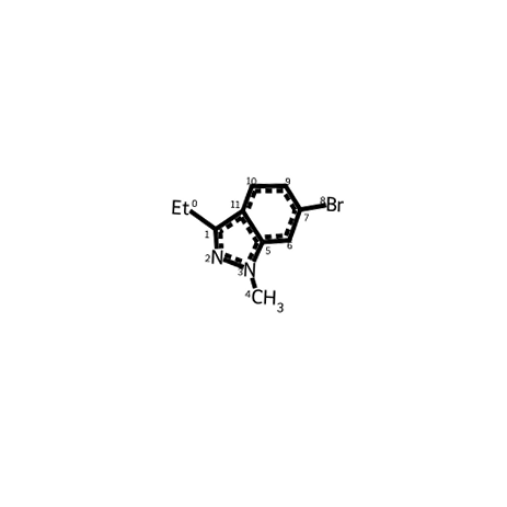 CCc1nn(C)c2cc(Br)ccc12